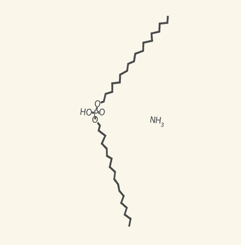 CCCCCCCCCCCCCCCCCCOP(=O)(O)OCCCCCCCCCCCCCCCCCC.N